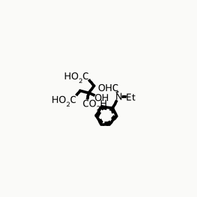 CCN(C=O)c1ccccc1.O=C(O)CC(O)(CC(=O)O)C(=O)O